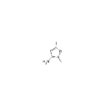 CC1=CC(N)N(C)O1